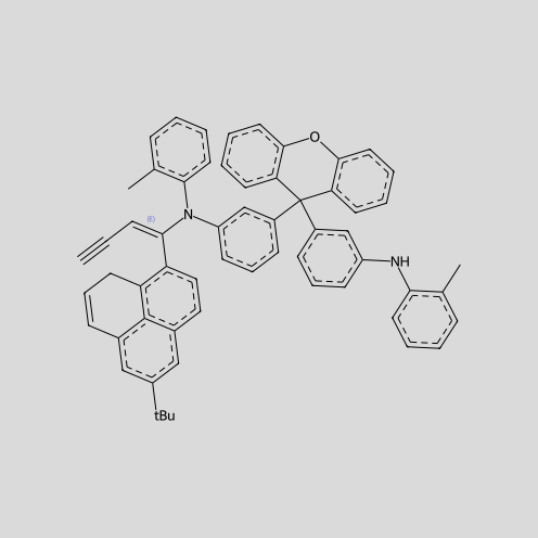 C#C/C=C(\c1ccc2cc(C(C)(C)C)cc3c2c1CC=C3)N(c1cccc(C2(c3cccc(Nc4ccccc4C)c3)c3ccccc3Oc3ccccc32)c1)c1ccccc1C